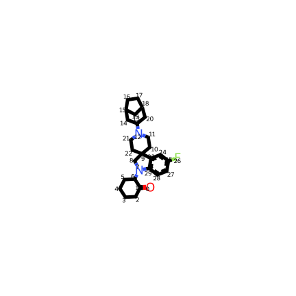 O=C1CCCCC1N1CC2(CCN(C3CC4CCC(C4)C3)CC2)c2cc(F)ccc21